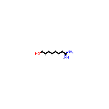 N=C(N)CCCCCCCO